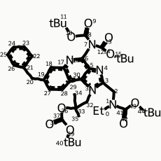 CCN(Cc1nc2c(N(C(=O)OC(C)(C)C)C(=O)OC(C)(C)C)nc3cc(Cc4ccccc4)ccc3c2n1CC(C)(C)OC(=O)OC(C)(C)C)C(=O)OC(C)(C)C